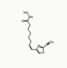 C#Cc1nc(/C=C\CCCCCC(=O)NO)cs1